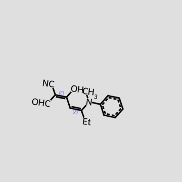 CC/C(=C/C(O)=C(/C#N)C=O)N(C)c1ccccc1